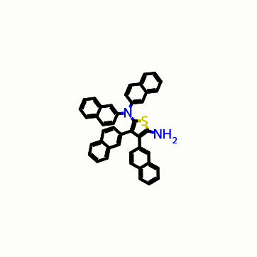 Nc1sc(N(c2ccc3ccccc3c2)c2ccc3ccccc3c2)c(-c2ccc3ccccc3c2)c1-c1ccc2ccccc2c1